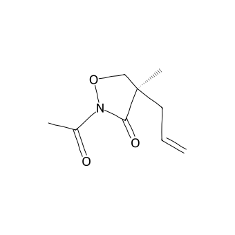 C=CC[C@]1(C)CON(C(C)=O)C1=O